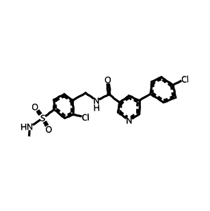 CNS(=O)(=O)c1ccc(CNC(=O)c2cncc(-c3ccc(Cl)cc3)c2)c(Cl)c1